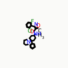 Cc1onc(-c2c(F)cccc2Cl)c1C(=O)NC1CCC(c2ccccc2)(N2CCCCC2)CC1